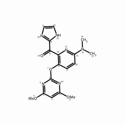 COc1cc(OC)nc(Oc2ccc(N(C)C)nc2C(=O)c2ncc[nH]2)n1